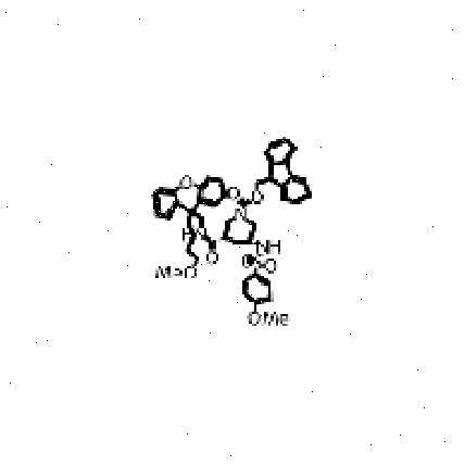 COCCCCC1(CNC(=O)[C@H]2C[C@@H](NS(=O)(=O)c3ccc(OC)cc3)CN(C(=O)OCC3c4ccccc4-c4ccccc43)C2)c2ccccc2Oc2ccccc21